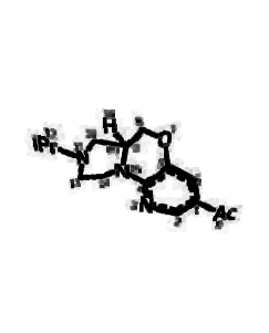 CC(=O)c1cnc2c(c1)OC[C@H]1CN(C(C)C)CCN21